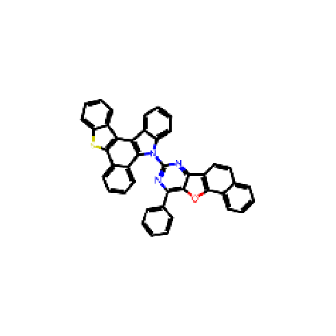 c1ccc(-c2nc(-n3c4ccccc4c4c5c6ccccc6sc5c5ccccc5c43)nc3c2oc2c4ccccc4ccc32)cc1